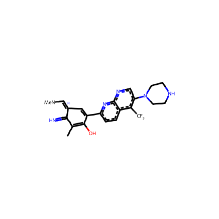 CN/C=C1/C=C(c2ccc3c(C(F)(F)F)c(N4CCNCC4)cnc3n2)C(O)=C(C)C1=N